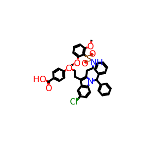 COc1cccc(OC)c1S(=O)(=O)NCCc1c(CCOc2ccc(C(=O)O)cc2)c2cc(Cl)ccc2n1C(c1ccccc1)c1ccccc1